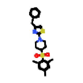 Cc1cc(C)c(S(=O)(=O)C2CCN(c3nc(Cc4ccccc4)cs3)CC2)c(C)c1